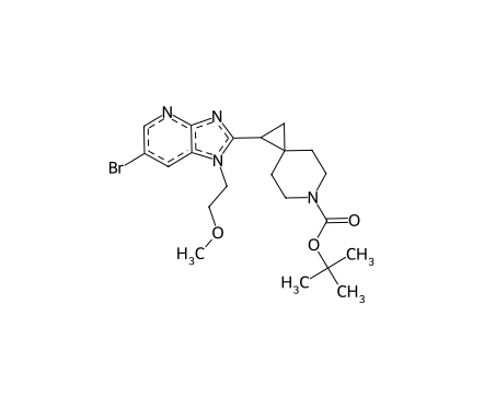 COCCn1c(C2CC23CCN(C(=O)OC(C)(C)C)CC3)nc2ncc(Br)cc21